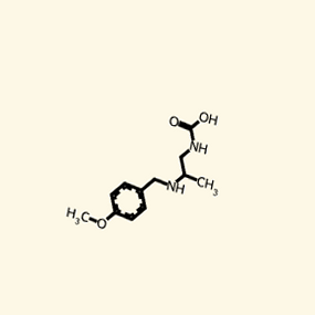 COc1ccc(CNC(C)CNC(=O)O)cc1